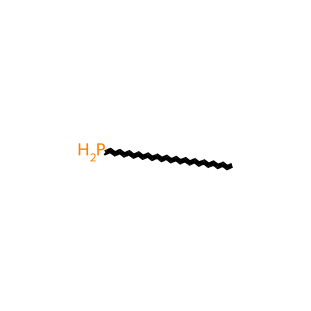 CCCCCCCCCCCCCCCCCCCCCCCCCCCCP